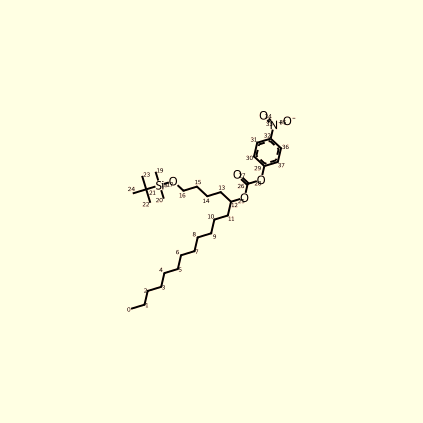 CCCCCCCCCCCCC(CCCCO[Si](C)(C)C(C)(C)C)OC(=O)Oc1ccc([N+](=O)[O-])cc1